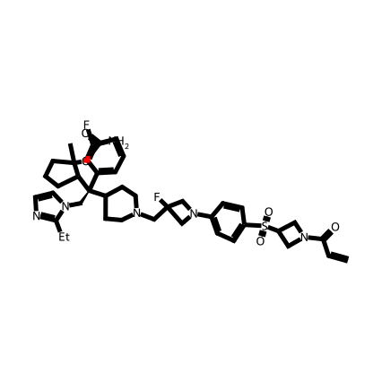 C=CC(=O)N1CC(S(=O)(=O)c2ccc(N3CC(F)(CN4CCC([C@@](Cn5ccnc5CC)(c5cccc(F)c5)C5CCCC5(C)OC(N)=O)CC4)C3)cc2)C1